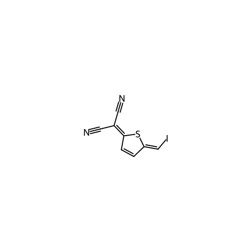 N#CC(C#N)=c1cc/c(=C/I)s1